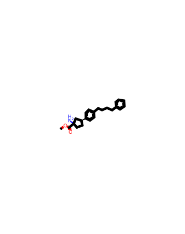 COC(=O)[C@@]1(N)CC[C@H](c2ccc(CCCCc3ccccc3)cc2)C1